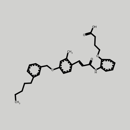 CCCCCc1cccc(COc2ccc(C=CC(=O)Nc3ccccc3OCCCC(=O)O)c(C)c2)c1